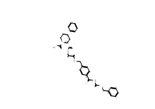 CC(NC(=O)[C@H]1C[C@@H](c2ccccc2)CCN1C(=O)OC(C)(C)C)C(=O)NCc1ccc(C(=N)NC(=O)OCc2ccccc2)cc1